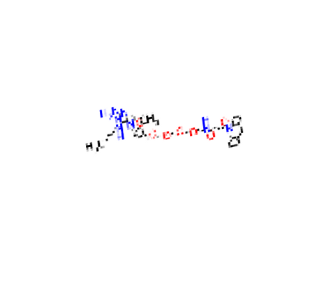 CCCCCNc1nc(N)nc2ccn(Cc3ccc(COCCOCCOCCOCCNC(=O)CCC(=O)N4Cc5ccccc5C#Cc5ccccc54)cc3OC)c12